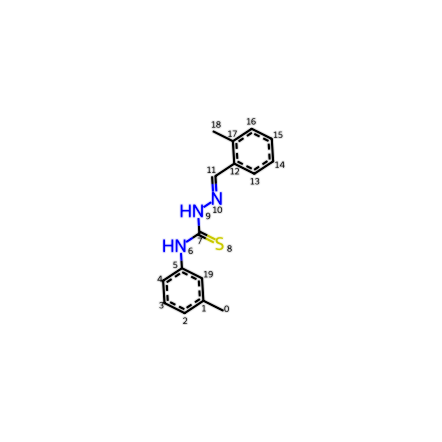 Cc1cccc(NC(=S)N/N=C/c2ccccc2C)c1